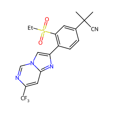 CCS(=O)(=O)c1cc(C(C)(C)C#N)ccc1-c1cn2cnc(C(F)(F)F)cc2n1